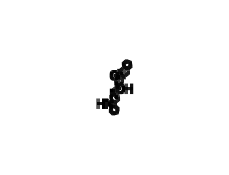 O=C(OCC(O)CN1CCc2c([nH]c3ccccc23)C1)N1CCc2ccccc2C1